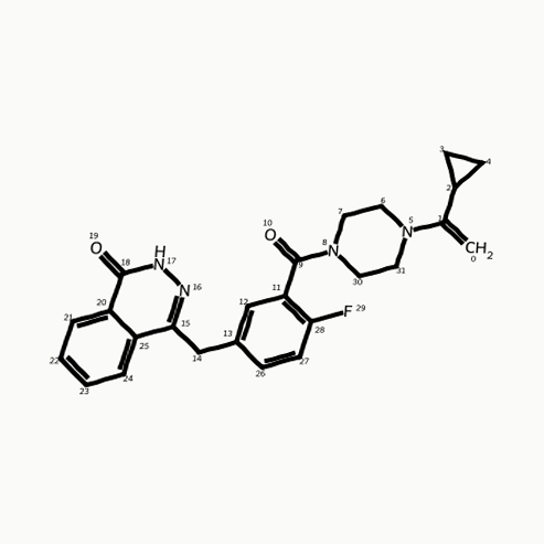 C=C(C1CC1)N1CCN(C(=O)c2cc(Cc3n[nH]c(=O)c4ccccc34)ccc2F)CC1